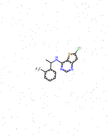 CC(Nc1ncnc2cc(Cl)sc12)c1ccccc1C(F)(F)F